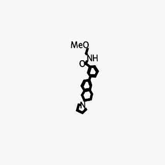 COCCNC(=O)c1cccc(-c2ccc3c(c2)CCC(N2CCCC2)C3)c1